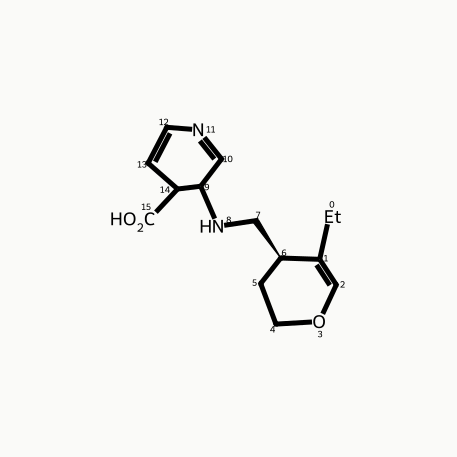 CCC1=COCC[C@H]1CNC1C=NC=CC1C(=O)O